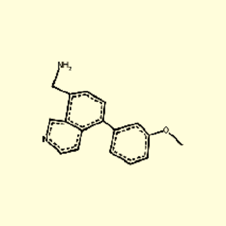 COc1cccc(-c2ccc(CN)c3cnccc23)c1